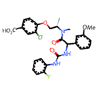 COc1cccc(C(NC(=O)Nc2ccccc2F)C(=O)N(C)[C@@H](C)COc2ccc(C(=O)O)cc2Cl)c1